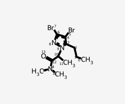 CCCc1c(Br)c(Br)nn1C(C)C(=O)N(C)C